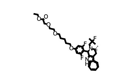 CCOC(=O)COCCOCCCCCOc1cc(F)c(C2c3[nH]c4c(c3C[C@@H](C)N2CC(C)(C)F)=C=CC=CC=4)c(F)c1